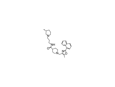 Cc1oc(-c2cccc3ccccc23)nc1CN1CCC(C(=O)NCCCN2CCC[C@H](C)C2)CC1